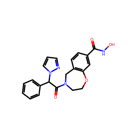 O=C(NO)c1ccc2c(c1)OCCN(C(=O)C(c1ccccc1)n1cccn1)C2